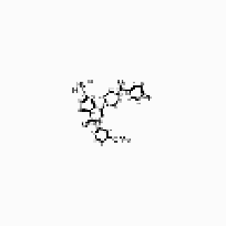 COc1cccc(N(CCN2CCC(C(=O)c3ccc(F)cc3)CC2)C(=O)c2ccc(N)cc2)c1.Cl